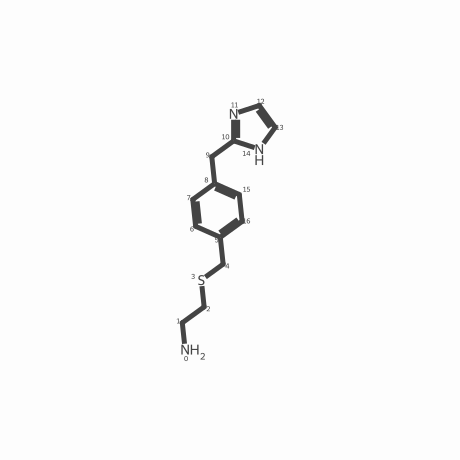 NCCSCc1ccc(Cc2ncc[nH]2)cc1